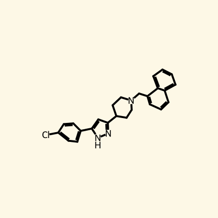 Clc1ccc(-c2cc(C3CCN(Cc4cccc5ccccc45)CC3)n[nH]2)cc1